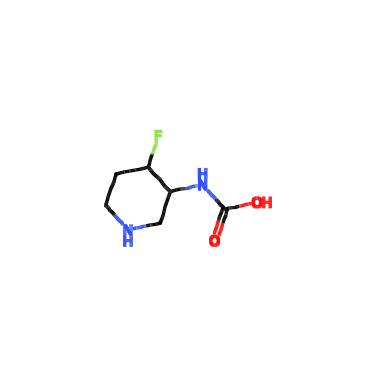 O=C(O)NC1CNCCC1F